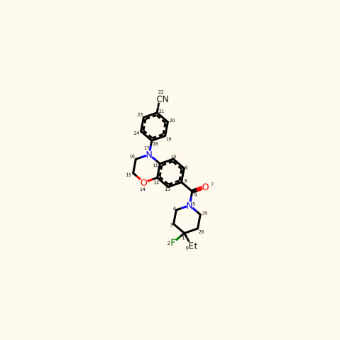 CCC1(F)CCN(C(=O)c2ccc3c(c2)OCCN3c2ccc(C#N)cc2)CC1